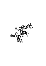 C[C@@H](C(=O)Nc1cnc(Oc2ccc(F)cc2F)cn1)N1CCN(C(=O)C(CNC(=O)OC(C)(C)C)CNC(=O)OC(C)(C)C)C(C)(C)C1